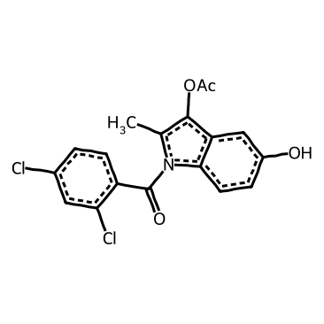 CC(=O)Oc1c(C)n(C(=O)c2ccc(Cl)cc2Cl)c2ccc(O)cc12